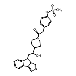 CS(=O)(=O)Nc1ccc(CC(=O)N2CCC(C(O)CC3c4ccccc4-c4cncn43)CC2)cc1